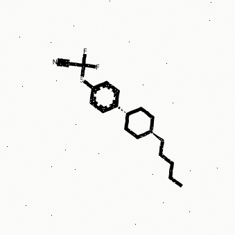 CCCCC[C@H]1CC[C@H](c2ccc(SC(F)(F)C#N)cc2)CC1